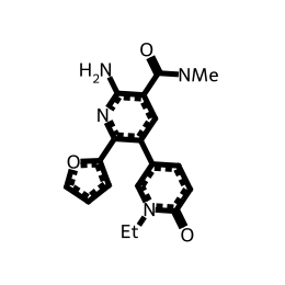 CCn1cc(-c2cc(C(=O)NC)c(N)nc2-c2ccco2)ccc1=O